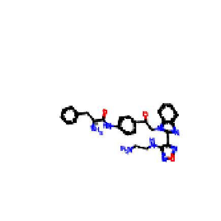 NCCNc1nonc1-c1nc2ccccc2n1CC(=O)c1ccc(NC(=O)[C@@H](N)Cc2ccccc2)cc1